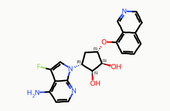 Nc1ccnc2c1c(F)cn2[C@@H]1C[C@H](Oc2cccc3ccncc23)[C@@H](O)[C@H]1O